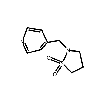 O=S1(=O)CCCN1Cc1ccncc1